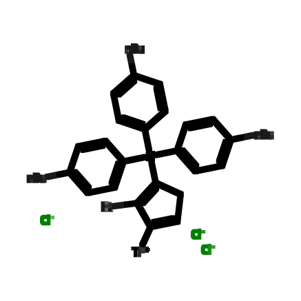 CCCCc1ccc([Si](C2=C(CC)[C]([Ti+3])=CC2)(c2ccc(CCCC)cc2)c2ccc(CCCC)cc2)cc1.[Cl-].[Cl-].[Cl-]